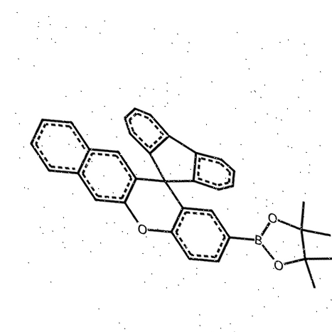 CC1(C)OB(c2ccc3c(c2)C2(c4cc5ccccc5cc4O3)c3ccccc3-c3ccccc32)OC1(C)C